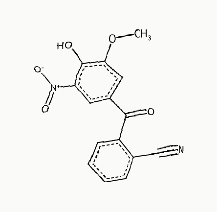 COc1cc(C(=O)c2ccccc2C#N)cc([N+](=O)[O-])c1O